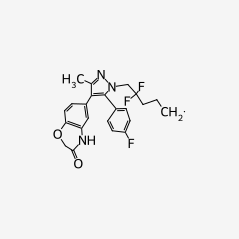 [CH2]CCC(F)(F)Cn1nc(C)c(-c2ccc3c(c2)NC(=O)CO3)c1-c1ccc(F)cc1